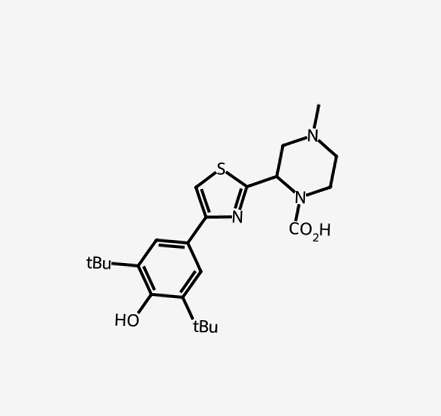 CN1CCN(C(=O)O)C(c2nc(-c3cc(C(C)(C)C)c(O)c(C(C)(C)C)c3)cs2)C1